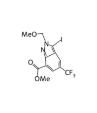 COCn1nc2c(C(=O)OC)cc(C(F)(F)F)cc2c1I